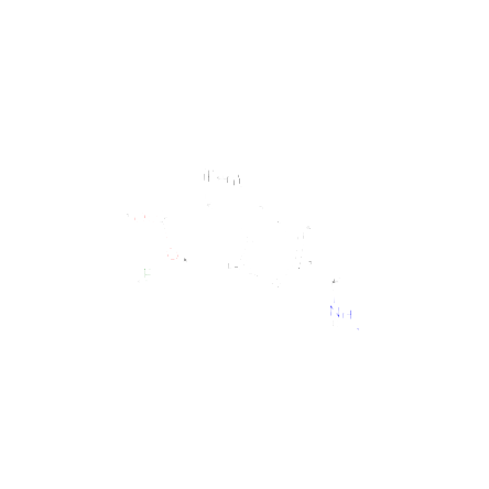 CCCC(C)C(C(=O)OF)c1ccc(CN)cc1